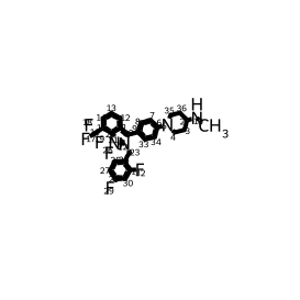 CNC1CCN(c2ccc(-c3c4cccc(C(F)(F)F)c4nn3Cc3c(F)cc(F)cc3F)cc2)CC1